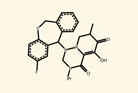 CC1CN2C(=C(O)C1=O)C(=O)N(C(C)C)CN2C1c2ccccc2CSc2ccc(F)cc21